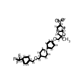 CC1(COc2ccc(N3CCC(COCc4ccc(C(F)(F)F)cc4)CC3)cc2)Cn2cc([N+](=O)[O-])nc2O1